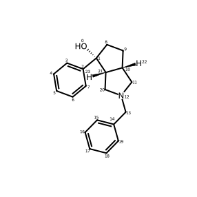 O[C@]1(c2ccccc2)CC[C@@H]2CN(Cc3ccccc3)C[C@@H]21